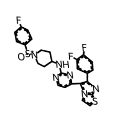 [O-][S+](c1ccc(F)cc1)N1CCC(Nc2nccc(-c3c(-c4ccc(F)c(F)c4)nc4sccn34)n2)CC1